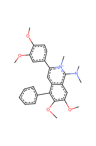 COc1ccc(-c2cc3c(-c4ccccc4)c(OC)c(OC)cc3c(N(C)C)[n+]2C)cc1OC